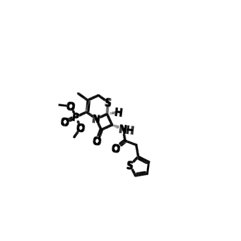 COP(=O)(OC)C1=C(C)CS[C@H]2[C@H](NC(=O)Cc3cccs3)C(=O)N12